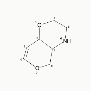 C1=CC2OCCNC2CO1